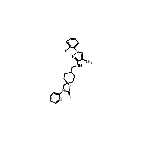 O=C1O[C@]2(CC[C@H](CNc3nn(-c4ccccc4F)cc3C(F)(F)F)CC2)CN1c1ccccn1